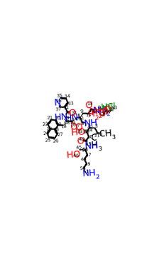 CC(C)C[C@H](NC(=O)[C@H](CCC(N)=O)NC(=O)[C@H](Cc1cccc2ccccc12)NC(=O)c1cccnc1)[C@@H](O)CC(=O)N[C@H](CO)CCCCN.Cl.Cl.O.O.O